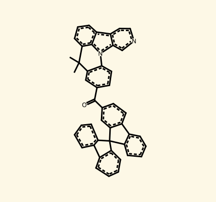 CC1(C)c2cc(C(=O)c3ccc4c(c3)C3(c5ccccc5-c5ccccc53)c3ccccc3-4)ccc2-n2c3cnccc3c3cccc1c32